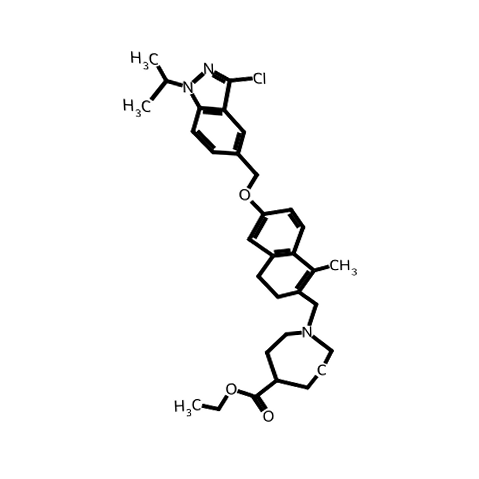 CCOC(=O)C1CCCN(CC2=C(C)c3ccc(OCc4ccc5c(c4)c(Cl)nn5C(C)C)cc3CC2)CC1